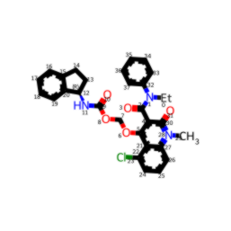 CCN(C(=O)c1c(OCOC(=O)N[C@@H]2CCc3ccccc32)c2c(Cl)cccc2n(C)c1=O)c1ccccc1